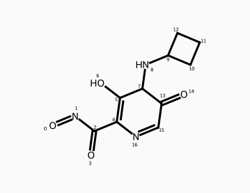 O=NC(=O)C1=C(O)C(NC2CCC2)C(=O)C=N1